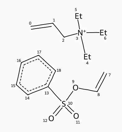 C=CC[N+](CC)(CC)CC.C=COS(=O)(=O)c1ccccc1